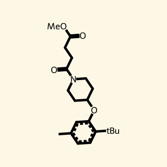 COC(=O)CCC(=O)N1CCC(Oc2cc(C)ccc2C(C)(C)C)CC1